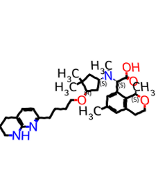 Cc1cc2c(c([C@@H](C(=O)O)N(C)[C@@H]3C[C@@H](OCCCCc4ccc5c(n4)NCCC5)C(C)(C)C3)c1)[C@H](C)OCC2